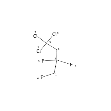 FCC(F)(F)CC(Cl)(Cl)Cl